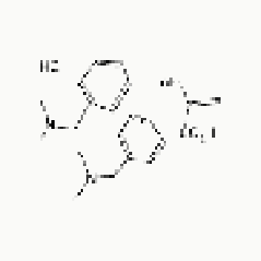 C=C(CCC)C(=O)O.CN(C)Cc1ccccc1.CN(C)Cc1ccccc1.Cl